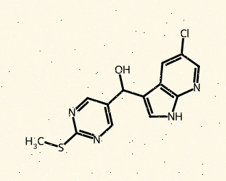 CSc1ncc(C(O)c2c[nH]c3ncc(Cl)cc23)cn1